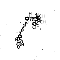 Cc1sc2c(c1C)C(c1ccc(Cl)cc1)=N[C@@H](CC(=O)Nc1cccc(OCCOCCOCCNc3ccc4c(=O)n(C5CCC(=O)NC5=O)ncc4c3)c1)c1nnc(C)n1-2